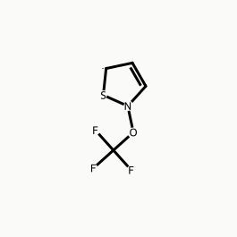 FC(F)(F)ON1C=C[CH]S1